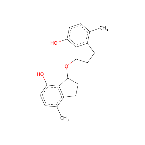 Cc1ccc(O)c2c1CCC2OC1CCc2c(C)ccc(O)c21